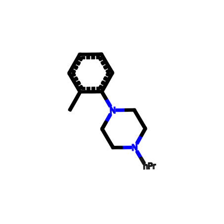 [CH2]CCN1CCN(c2ccccc2C)CC1